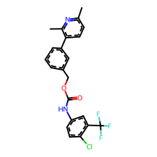 Cc1ccc(-c2cccc(COC(=O)Nc3ccc(Cl)c(C(F)(F)F)c3)c2)c(C)n1